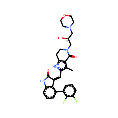 Cc1c(/C=C2\C(=O)Nc3cccc(-c4cccc(F)c4F)c32)[nH]c2c1C(=O)N(C[C@@H](O)CN1CCOCC1)CC2